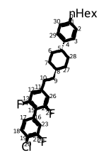 CCCCCCc1ccc([C@H]2CC[C@H](CCc3cc(F)c(-c4ccc(Cl)c(F)c4)c(F)c3)CC2)cc1